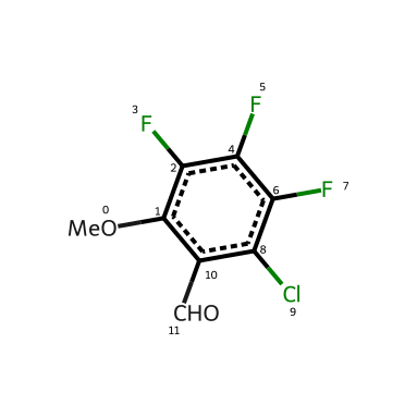 COc1c(F)c(F)c(F)c(Cl)c1C=O